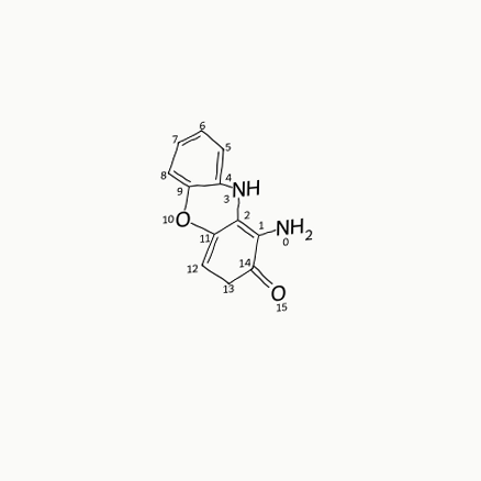 NC1=C2Nc3ccccc3OC2=CCC1=O